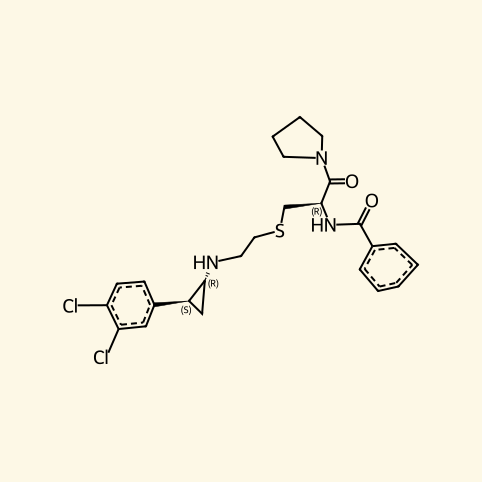 O=C(N[C@@H](CSCCN[C@@H]1C[C@H]1c1ccc(Cl)c(Cl)c1)C(=O)N1CCCC1)c1ccccc1